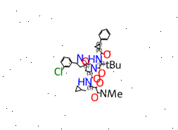 CNC(=O)C(=O)[C@H](CC1CC1)NC(=O)[C@@H]1C[C@]2(CC(c3cccc(Cl)c3)=NO2)CN1C(=O)[C@@H](NC(=O)[C@@H]1C[C@H]1c1ccccc1)C(C)(C)C